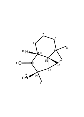 CCC[C@@]1(C)C(=O)[C@@H]2CCCC(C)(C)[C@@]23CC13